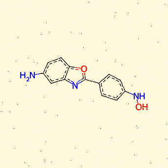 Nc1ccc2oc(-c3ccc(NO)cc3)nc2c1